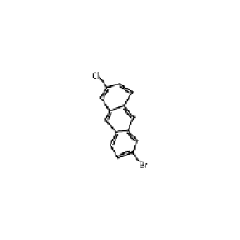 Clc1ccc2cc3cc(Br)ccc3cc2c1